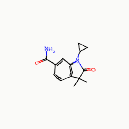 CC1(C)C(=O)N(C2CC2)c2cc(C(N)=O)ccc21